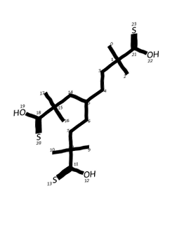 CC(C)(CCC(CCC(C)(C)C(O)=S)CC(C)(C)C(O)=S)C(O)=S